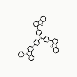 C1=CC2Oc3c(-c4ccc(N(c5ccc(-c6ccc7c(c6)c6ccccc6n7-c6ccccc6)cc5)c5ccc(-c6cccc7c6oc6ccccc67)cc5)cc4)cccc3C2C=C1